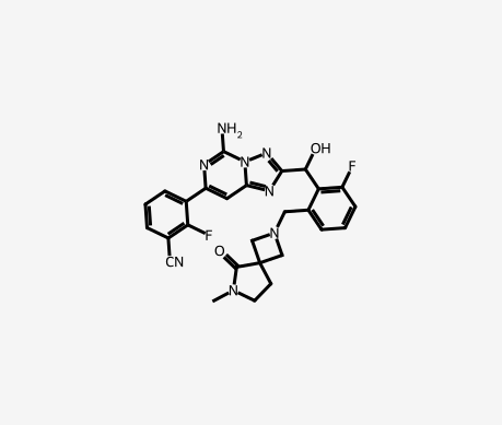 CN1CCC2(CN(Cc3cccc(F)c3C(O)c3nc4cc(-c5cccc(C#N)c5F)nc(N)n4n3)C2)C1=O